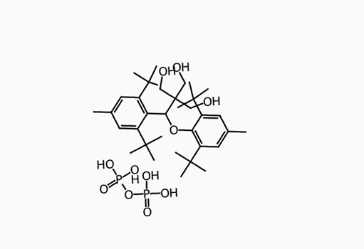 Cc1cc(C(C)(C)C)c(OC(c2c(C(C)(C)C)cc(C)cc2C(C)(C)C)C(CO)(CO)CO)c(C(C)(C)C)c1.O=P(O)(O)OP(=O)(O)O